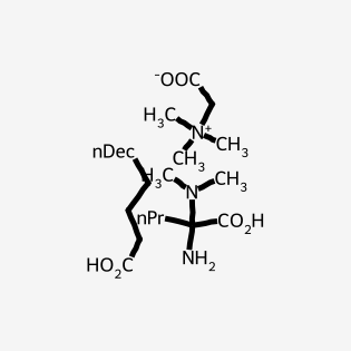 CCCC(N)(C(=O)O)N(C)C.CCCCCCCCCCCCCC(=O)O.C[N+](C)(C)CC(=O)[O-]